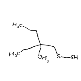 CCC(C)(CC)CSS